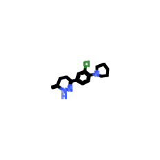 C=C1CCC(c2ccc(N3CCCCC3)c(Cl)c2)=NN1